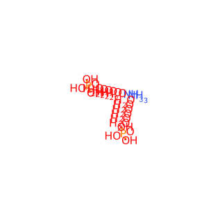 N.N.O.O.O.O.O.O.O.O.O.O.O.O.O=P(O)(O)O.O=P(O)(O)O